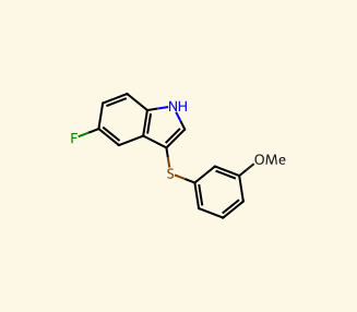 COc1cccc(Sc2c[nH]c3ccc(F)cc23)c1